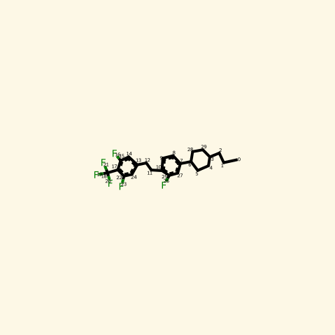 CCCC1CCC(c2ccc(CCc3cc(F)c(C(F)(F)F)c(F)c3)c(F)c2)CC1